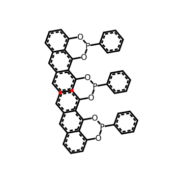 c1ccc(P(Oc2cccc3cc4cccc5c4c(c23)OP(c2ccccc2)O5)Oc2cccc3cc4cccc5c4c(c23)OP(c2ccccc2)O5)cc1